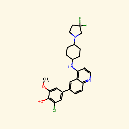 COc1cc(-c2ccc3nc[c]c(NC4CCC(N5CCC(F)(F)C5)CC4)c3c2)cc(Cl)c1O